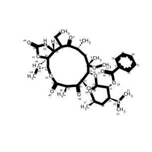 CCC1C(=O)[C@H](C)C[C@](C)(OC)[C@H](OC2O[C@H](C)C[C@H](N(C)C)[C@H]2OC(=O)c2ccccc2)[C@@H](C)C(=O)[C@@H](C)C(=O)O[C@H](CC)[C@@]2(C)OC(=O)N[C@H]12